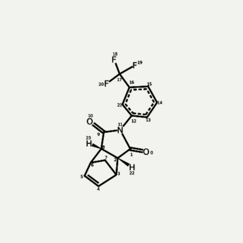 O=C1[C@@H]2C3C=CC(C3)[C@@H]2C(=O)N1c1cccc(C(F)(F)F)c1